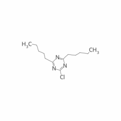 CCCCCc1nc(Cl)nc(CCCCC)n1